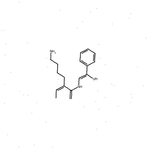 C=C(N/C=C(\CCC)c1ccccc1)/C(=C\C)CCCCN